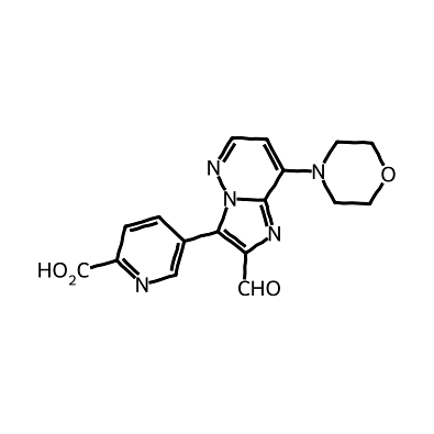 O=Cc1nc2c(N3CCOCC3)ccnn2c1-c1ccc(C(=O)O)nc1